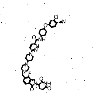 N#Cc1ccc(OC2CCC(NC(=O)c3ccc(N4CCC(N5CCN(Cc6ccc7c(c6F)CN(C6CCC(=O)NC6=O)C7=O)CC5)CC4)nn3)CC2)cc1Cl